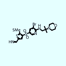 CSc1sc(C=N)cc1S(=O)(=O)c1cnc(NCC(C)(C)N2CCOCC2)c(Br)c1